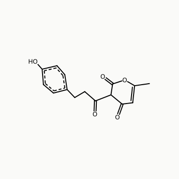 CC1=CC(=O)C(C(=O)CCc2ccc(O)cc2)C(=O)O1